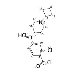 Cl.O=C(Cl)c1ccc(OC2CCN(C3CCC3)CC2)cc1Cl